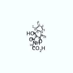 Cc1ccc2c(c1C)C(O)=C(C(=O)NCC(=O)O)C(=O)C2C